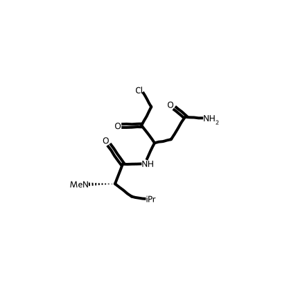 CN[C@@H](CC(C)C)C(=O)NC(CC(N)=O)C(=O)CCl